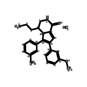 Cl.NCCC1CNC(=O)c2cc(-c3cccc(OC(F)(F)F)c3)c(-c3cccc(N)c3)n21